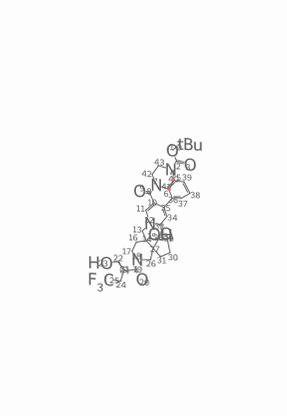 CC(C)(C)OC(=O)N1CCN(C(=O)c2cn(CC3(O)CCN(C(=O)[C@H](CO)CC(F)(F)F)CC34CCCC4)c(=O)cc2-c2ccccc2)CC1